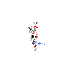 CCOc1nc(N)nc2c1ncn2[C@@H]1O[C@@H]2COP(=O)(N[C@@H](COC(=O)C(C)C)C(C)(C)C)O[C@H]2[C@@]1(C)Cl